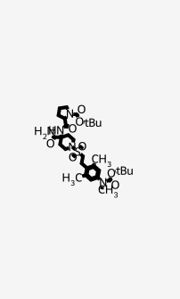 Cc1cc(N(C)C(=O)OC(C)(C)C)cc(C)c1CCS(=O)(=O)N1CCC(NC(=O)C2CCCN2C(=O)OC(C)(C)C)(C(N)=O)CC1